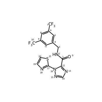 O=C(NCc1cc(C(F)(F)F)cc(C(F)(F)F)c1)c1ncnn1-c1nccs1